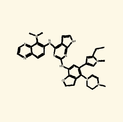 CCc1cc(-c2cc(Nc3nc(Nc4ccc5nccnc5c4N(C)C)c4cc[nH]c4n3)c3c(c2N2CCN(C)CC2)CCO3)cn1C